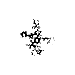 CCNC(=O)Nc1cc(-c2nc(-c3ccccc3)cs2)c(-c2cc3c(=O)c(C(=O)O)cn(C[C@@H]4CCCN4CC)c3cc2OCCN(C)C)cn1